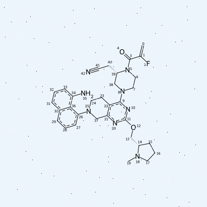 C=C(F)C(=O)N1CCN(c2nc(OC[C@@H]3CCCN3C)nc3c2CCN(c2cccc4cccc(N)c24)C3)C[C@@H]1CC#N